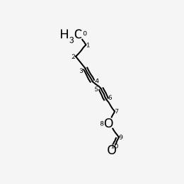 CCCC#CC#CCOC=O